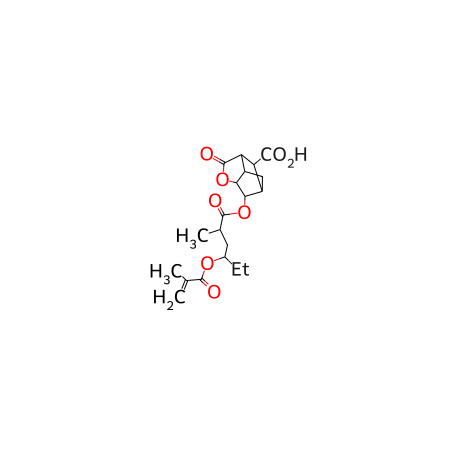 C=C(C)C(=O)OC(CC)CC(C)C(=O)OC1C2CC3C1OC(=O)C3C2C(=O)O